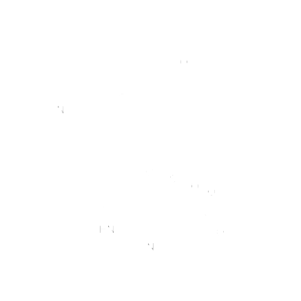 COC(=O)c1cnc2[nH]cc(-c3ccc(OC4CCOCC4)c(C#N)c3)c2c1S(=O)(=O)c1ccc(C)cc1